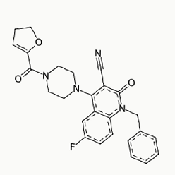 N#Cc1c(N2CCN(C(=O)C3=CCCO3)CC2)c2cc(F)ccc2n(Cc2ccccc2)c1=O